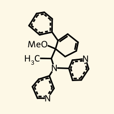 COC1(C(C)N(c2cccnc2)c2cccnc2)CC=CC=C1c1ccccc1